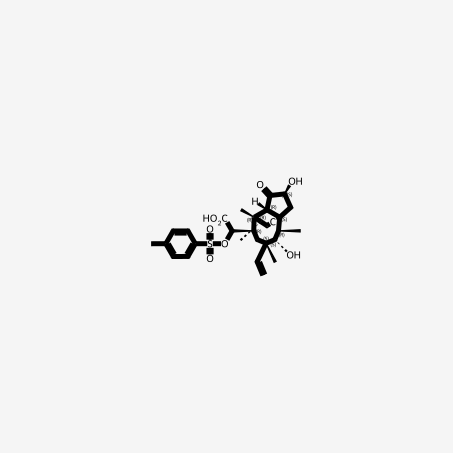 C=C[C@]1(C)C[C@@H](C(OS(=O)(=O)c2ccc(C)cc2)C(=O)O)[C@@]2(C)[C@H](C)CC[C@]3(C[C@H](O)C(=O)[C@H]32)[C@@H](C)[C@@H]1O